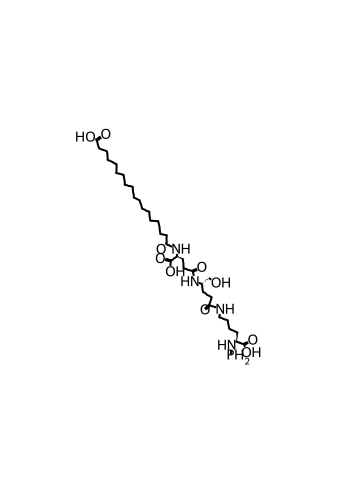 O=C(O)CCCCCCCCCCCCCCCCC(=O)N[C@@H](CCC(=O)N[C@H](CO)CCC(=O)NCCCC[C@H](NP)C(=O)O)C(=O)O